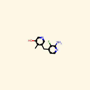 Cc1c(O)cncc1Cc1ccnc(N)c1F